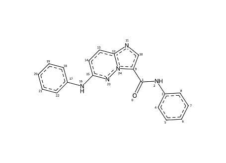 O=C(Nc1ccccc1)c1cnc2ccc(Nc3ccccc3)nn12